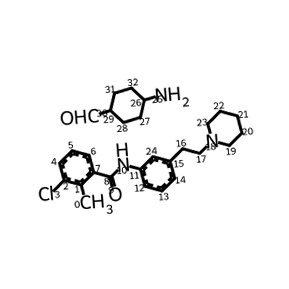 Cc1c(Cl)cccc1C(=O)Nc1cccc(CCN2CCCCC2)c1.NC1CCC(C=O)CC1